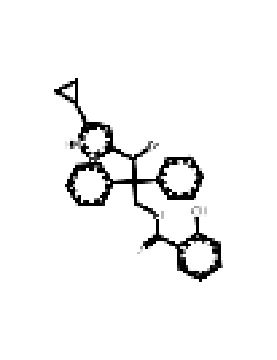 O=C(NCC(c1ccccc1)(c1ccccc1)C(Br)c1cc(C2CC2)[nH]n1)c1ccccc1O